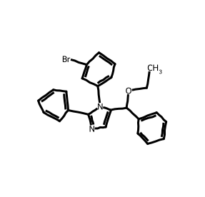 CCOC(c1ccccc1)c1cnc(-c2ccccc2)n1-c1cccc(Br)c1